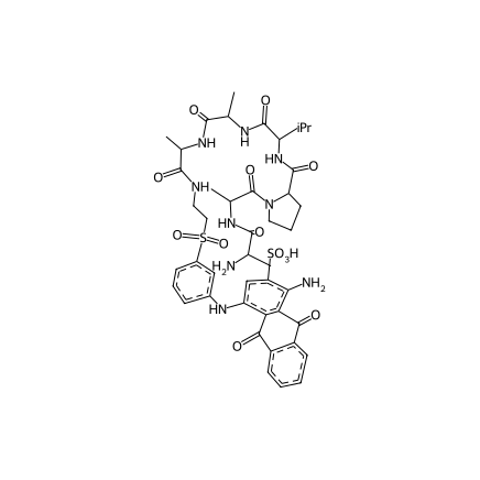 CC(N)C(=O)NC(C)C(=O)N1CCCC1C(=O)NC(C(=O)NC(C)C(=O)NC(C)C(=O)NCCS(=O)(=O)c1cccc(Nc2cc(S(=O)(=O)O)c(N)c3c2C(=O)c2ccccc2C3=O)c1)C(C)C